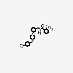 Cc1ccccc1C(=O)NCc1cccc(N2CCN(Cc3ccc(Cl)cc3)CC2)c1